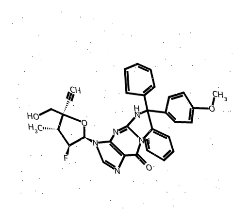 C#C[C@]1(CO)O[C@@H](n2cnc3c(=O)[nH]c(NC(c4ccccc4)(c4ccccc4)c4ccc(OC)cc4)nc32)[C@@H](F)[C@@H]1C